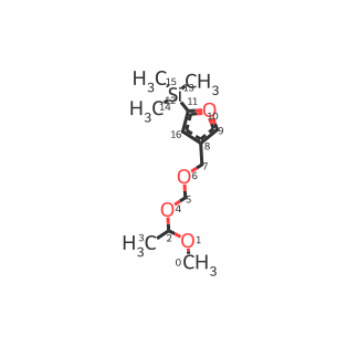 COC(C)OCOCc1coc([Si](C)(C)C)c1